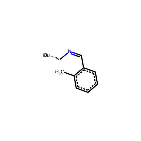 CC[C@@H](C)C/N=C\c1ccccc1C